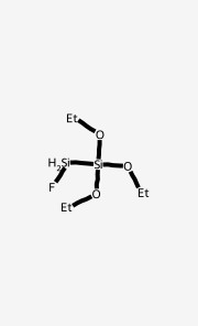 CCO[Si](OCC)(OCC)[SiH2]F